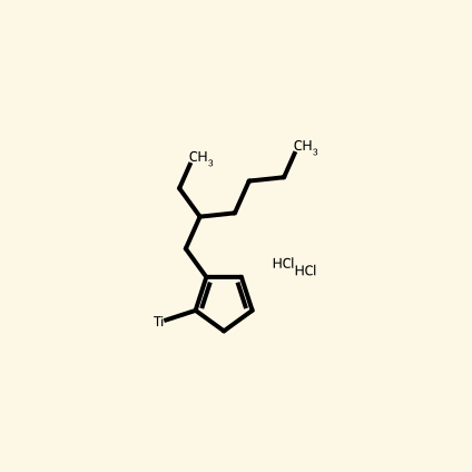 CCCCC(CC)CC1=[C]([Ti])CC=C1.Cl.Cl